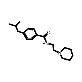 CC(C)Cc1ccc(C(=O)NCCN2CCCCC2)cc1